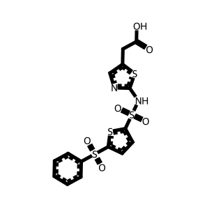 O=C(O)Cc1cnc(NS(=O)(=O)c2ccc(S(=O)(=O)c3ccccc3)s2)s1